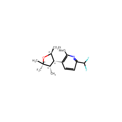 CCOC(=O)[C@@H]1O[C@@](C)(C(F)(F)F)[C@@H](C)[C@H]1c1ccc(C(F)F)nc1OC